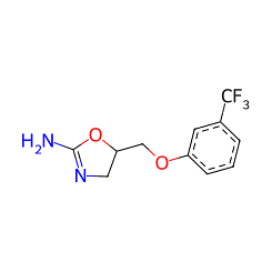 NC1=NCC(COc2cccc(C(F)(F)F)c2)O1